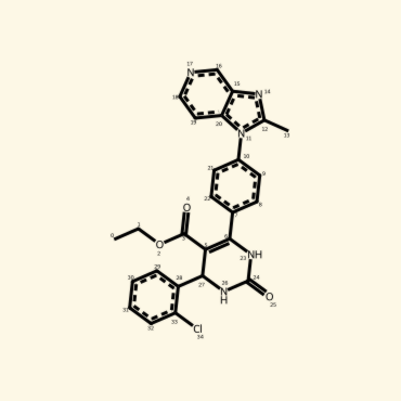 CCOC(=O)C1=C(c2ccc(-n3c(C)nc4cnccc43)cc2)NC(=O)NC1c1ccccc1Cl